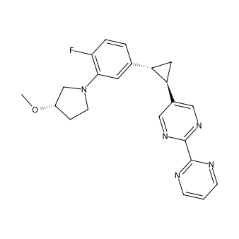 CO[C@H]1CCN(c2cc([C@@H]3C[C@H]3c3cnc(-c4ncccn4)nc3)ccc2F)C1